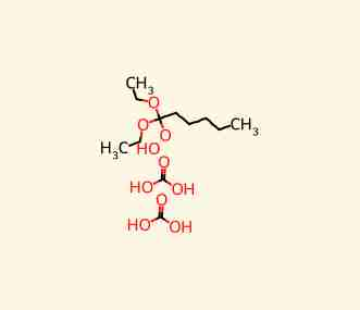 CCCCCC(OO)(OCC)OCC.O=C(O)O.O=C(O)O